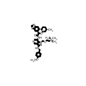 COc1ccc(CNc2nn(COCC[Si](C)(C)C)c3c(NC(=O)C(=O)ON4C[C@@H](C)CC[C@@H]4c4ccc5scnc5c4)cncc23)cc1